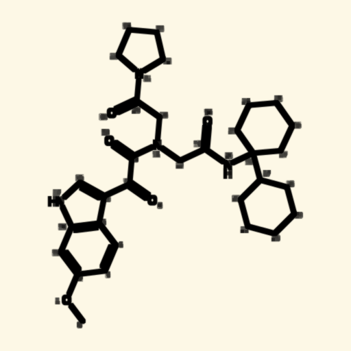 COc1ccc2c(C(=O)C(=O)N(CC(=O)NC3(C4CCCCC4)CCCCC3)CC(=O)N3CCCC3)c[nH]c2c1